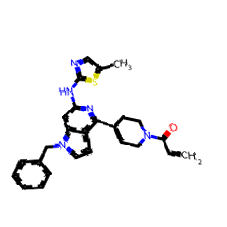 C=CC(=O)N1CC=C(c2nc(Nc3ncc(C)s3)cc3c2ccn3Cc2ccccc2)CC1